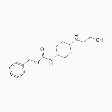 O=C(N[C@H]1CC[C@@H](NCCO)CC1)OCc1ccccc1